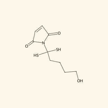 O=C1C=CC(=O)N1C(S)(S)CCCCO